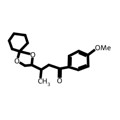 COc1ccc(C(=O)CC(C)C2COC3(CCCCC3)O2)cc1